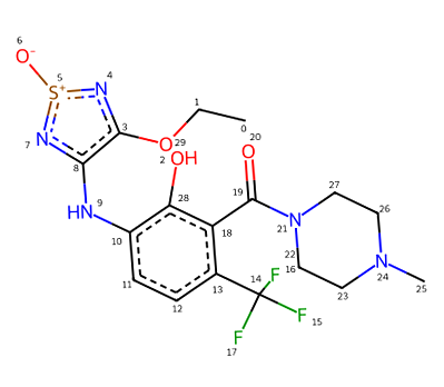 CCOc1n[s+]([O-])nc1Nc1ccc(C(F)(F)F)c(C(=O)N2CCN(C)CC2)c1O